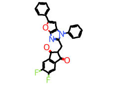 O=C1c2cc(F)c(F)cc2C(=O)C1Cc1nc2oc(-c3ccccc3)cc2n1-c1ccccc1